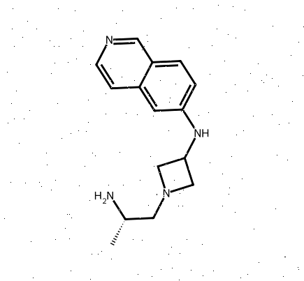 C[C@H](N)CN1CC(Nc2ccc3cnccc3c2)C1